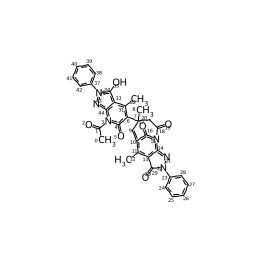 CC(=O)n1c(=O)c(C2(C)C=c3c(C)c4c(n(c3=O)C(=O)C2)=NN(c2ccccc2)C4=O)c(C)c2c(O)n(-c3ccccc3)nc21